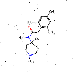 Cc1cc(C)c(CC(=O)N(C)C2(C#N)CCN(C)CC2)c(C)c1